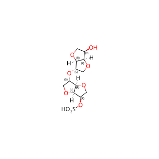 O=S(=O)(O)O[C@@H]1CO[C@H]2[C@@H]1OC[C@@H]2O[C@H]1CO[C@H]2[C@@H]1OC[C@H]2O